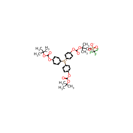 CC(C)(C)OC(=O)Oc1ccc([S+](c2ccc(OC(=O)OC(C)(C)C)cc2)c2ccc(OC(=O)OC(C)(C)C)cc2)cc1.O=S(=O)([O-])C(F)(F)F